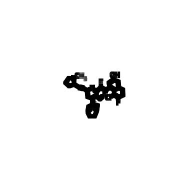 CN1CCCC1C#Cc1cc(N2CC3CCC(C2)N3)c2cnc(-c3cc(O)cc4ccc(F)c(Cl)c34)c(F)c2n1